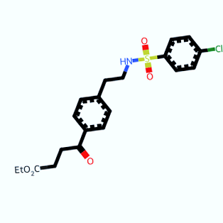 CCOC(=O)CCC(=O)c1ccc(CCNS(=O)(=O)c2ccc(Cl)cc2)cc1